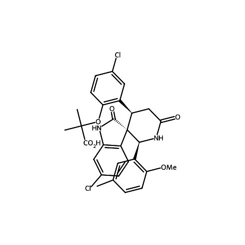 COc1ccc(C)cc1[C@@H]1NC(=O)C[C@H](c2cc(Cl)ccc2OC(C)(C)C(=O)O)[C@@]12C(=O)Nc1cc(Cl)ccc12